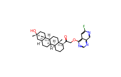 C[C@@]1(O)CC[C@@]2(C)[C@@H](CC[C@@H]3[C@@H]2CC[C@]2(C)[C@@H](C(=O)COc4ncnc5cnc(F)cc45)CCC[C@@H]32)C1